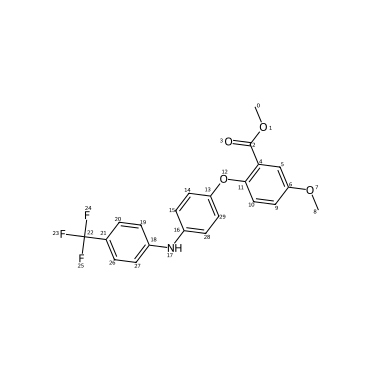 COC(=O)c1cc(OC)ccc1Oc1ccc(Nc2ccc(C(F)(F)F)cc2)cc1